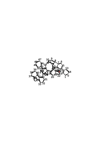 c1ccc(-c2ccc3c4ccc5cc4n(c3c2)-c2c(ccc3ccccc23)-c2nc(-c3cccc4oc6ccccc6c34)nc(-c3ccccc3)c2C5)cc1